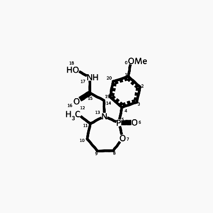 COc1ccc(P2(=O)OCCCC(C)N2CC(=O)NO)cc1